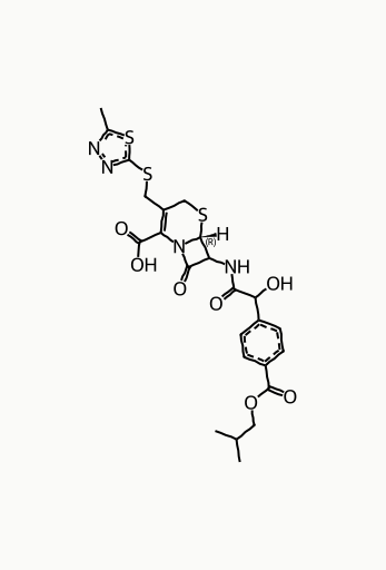 Cc1nnc(SCC2=C(C(=O)O)N3C(=O)C(NC(=O)C(O)c4ccc(C(=O)OCC(C)C)cc4)[C@H]3SC2)s1